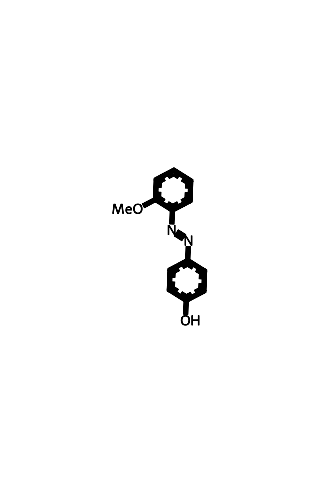 COc1ccccc1N=Nc1ccc(O)cc1